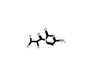 Nc1ccn(C(=O)C(F)C(F)F)c(=O)n1